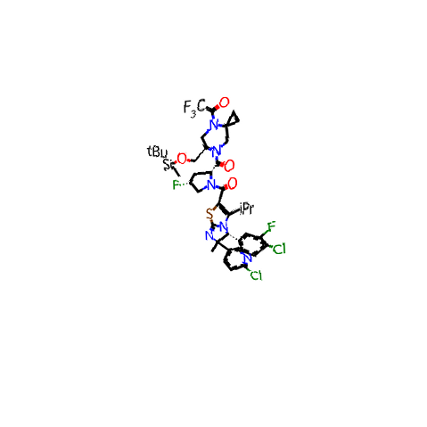 CC(C)C1=C(C(=O)N2C[C@H](F)C[C@@H]2C(=O)N2CC3(CC3)N(C(=O)C(F)(F)F)C[C@@H]2CO[Si](C)(C)C(C)(C)C)SC2=NC(C)(c3ccc(Cl)nc3)[C@@H](c3ccc(Cl)c(F)c3)N21